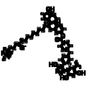 CC(C)c1cc(-c2nnc(O)n2-c2ccc(CN3CCN(C(=O)Oc4ccc5c(c4)C[C@@H](CCCCCCCCC[S+]([O-])CCCC(F)(F)C(F)(F)F)C4[C@@H]5CCC5(C)C(O)CC[C@@H]45)CC3)cc2)c(O)cc1O